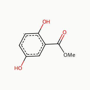 COC(=O)c1cc(O)c[c]c1O